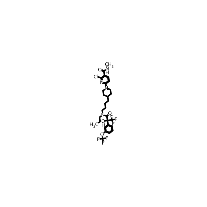 CCCN(CCCCC1CCN(c2ccc(C(=O)NC)c(Cl)n2)CC1)C(=O)C(O)(c1cccc(OC(F)(F)F)c1)C(F)(F)F